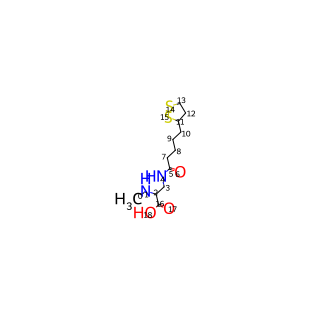 CNC(CNC(=O)CCCCC1CCSS1)C(=O)O